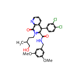 COc1cc(CNC(=O)c2c(-c3ccc(Cl)c(Cl)c3)c3cccnc3c(=O)n2CCC(C)CO)cc(OC)c1